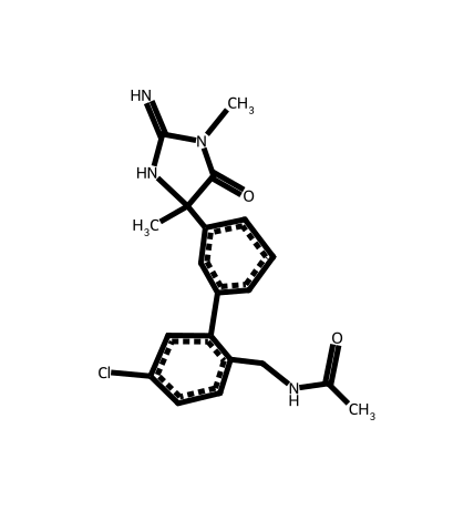 CC(=O)NCc1ccc(Cl)cc1-c1cccc(C2(C)NC(=N)N(C)C2=O)c1